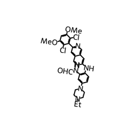 CCN1CCN(c2ccc(Nc3cc4cnc(-c5c(Cl)c(OC)cc(OC)c5Cl)cc4cn3)c(NC=O)c2)CC1